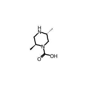 C[C@@H]1CN(C(=O)O)[C@@H](C)CN1